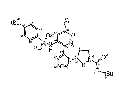 CC(C)(C)OC(=O)N1CC[C@H](n2cnnc2-c2ncc(Cl)cc2NS(=O)(=O)c2ccc(C(C)(C)C)cc2)C1